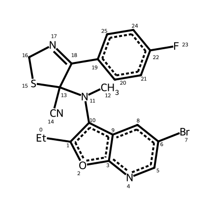 CCc1oc2ncc(Br)cc2c1N(C)C1(C#N)SCN=C1c1ccc(F)cc1